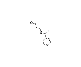 O=CCCSC(=O)c1ccccc1